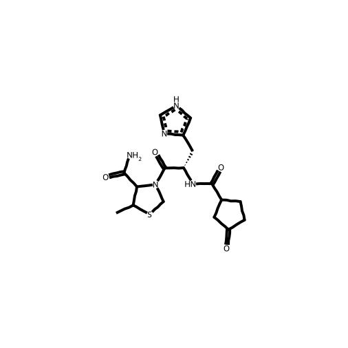 CC1SCN(C(=O)[C@H](Cc2c[nH]cn2)NC(=O)C2CCC(=O)C2)C1C(N)=O